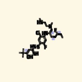 C\C=C(F)/C=C\C(=C\N(C)CCNC)Nc1cc(F)c(SNC(=N)/C=C(\O)C(C)(C)C)cc1Cl